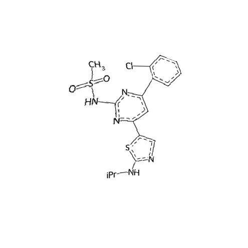 CC(C)Nc1ncc(-c2cc(-c3ccccc3Cl)nc(NS(C)(=O)=O)n2)s1